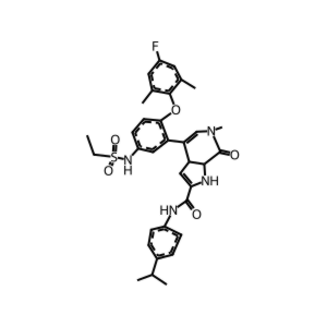 CCS(=O)(=O)Nc1ccc(Oc2c(C)cc(F)cc2C)c(C2=CN(C)C(=O)C3NC(C(=O)Nc4ccc(C(C)C)cc4)=CC23)c1